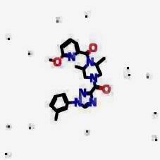 COc1cccc(C(=O)N2C(C)CN(C(=O)c3ncn(-c4cccc(C)c4)n3)CC2C)n1